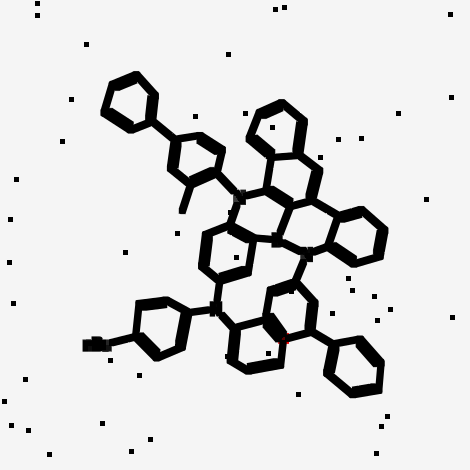 CCCCc1ccc(N(c2ccccc2)c2ccc3c(c2)B2c4c(cc5ccccc5c4N3c3ccc(-c4ccccc4)cc3C)-c3ccccc3N2c2cccc(-c3ccccc3)c2)cc1